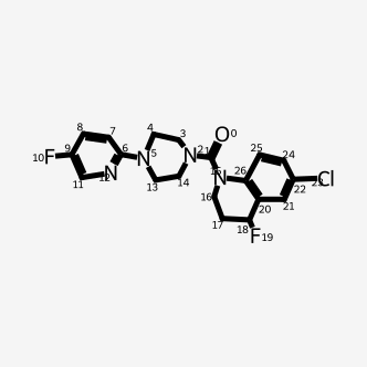 O=C(N1CCN(c2ccc(F)cn2)CC1)N1CCC(F)c2cc(Cl)ccc21